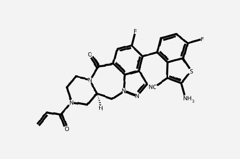 C=CC(=O)N1CCN2C(=O)c3cc(F)c(-c4ccc(F)c5sc(N)c(C#N)c45)c4cnn(c34)C[C@H]2C1